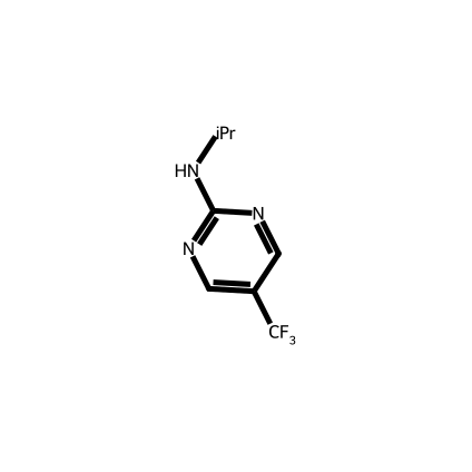 CC(C)Nc1ncc(C(F)(F)F)cn1